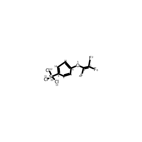 FC(F)=C(F)Oc1ccc([Si](Cl)(Cl)Cl)cc1